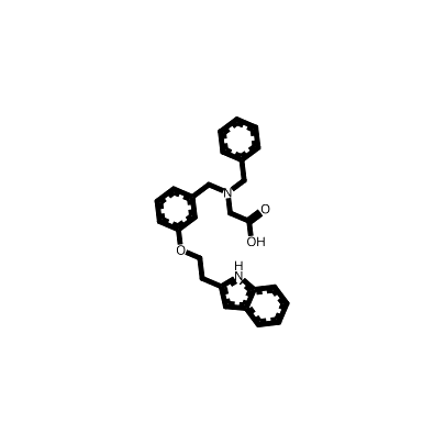 O=C(O)CN(Cc1ccccc1)Cc1cccc(OCCc2cc3ccccc3[nH]2)c1